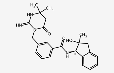 CC1(C)CC(=O)N(Cc2cccc(C(=O)N[C@@H]3c4ccccc4CC3(C)O)c2)C(=N)N1